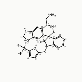 NCC1NCC2(C(=O)N(Cc3ccc(C(F)(F)F)o3)c3ccccc32)c2cc3c(cc21)OCO3